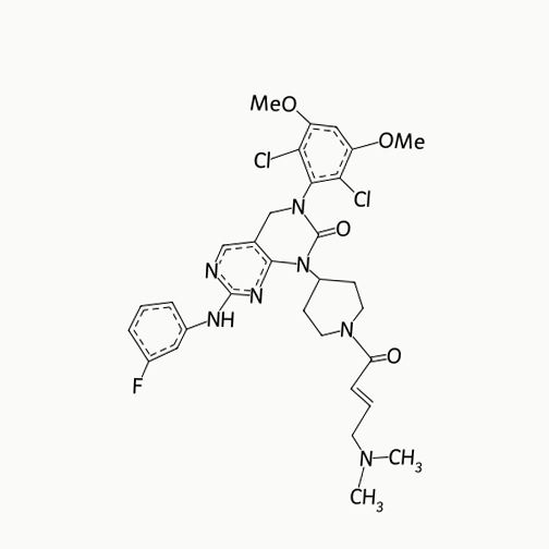 COc1cc(OC)c(Cl)c(N2Cc3cnc(Nc4cccc(F)c4)nc3N(C3CCN(C(=O)C=CCN(C)C)CC3)C2=O)c1Cl